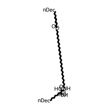 CCCCCCCCCCCCCC=CC=CC(=O)OCCCCCCCCCCCCCCCCCCCCCCCCCCCCC(=O)N[C@H](CO)[C@H](O)C(O)CCCCCCCCCCCCCCCC